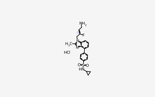 Cc1nc2c(-c3ccc(S(=O)(=O)NC4CC4)cc3)cccc2n1C/C(F)=C/CN.Cl